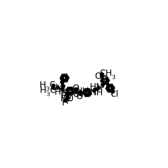 CC(=O)N1CCC(c2ccc(Cl)cc2)=C(CNCCNc2ccc(C(=O)NS(=O)(=O)c3ccc(N[C@H](CCN(C)C)CSc4ccccc4)c(S(=O)(=O)C(F)(F)F)c3)cc2)C1